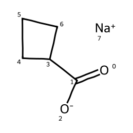 O=C([O-])C1CCC1.[Na+]